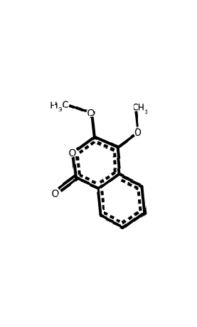 COc1oc(=O)c2ccccc2c1OC